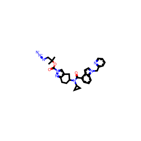 CC(C)(CN=[N+]=[N-])OC(=O)n1cc2c(n1)CCC(N(C(=O)c1cccc3c1ccn3Cc1ccccn1)C1CC1)C2